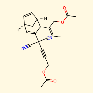 CC=C(COC(C)=O)[C@@H]1C(C(C#N)(C#N)C#CCOC(C)=O)=C[C@H]2C=C[C@@H]1C2